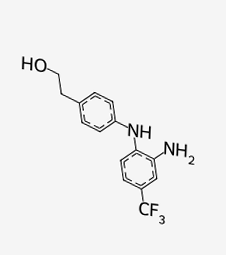 Nc1cc(C(F)(F)F)ccc1Nc1ccc(CCO)cc1